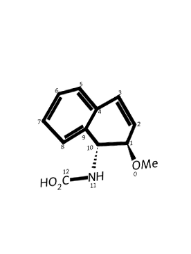 CO[C@@H]1C=Cc2ccccc2[C@H]1NC(=O)O